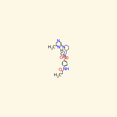 C=CC(=O)Nc1ccc(S(=O)(=O)N(C)CC2CCCN(c3cncc(C)n3)C2)cc1